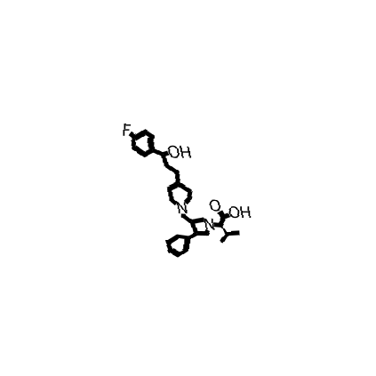 CC(C)[C@H](C(=O)O)N1CC(CN2CCC(CCC(O)c3ccc(F)cc3)CC2)C(c2ccccc2)C1